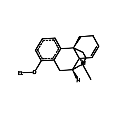 CCOc1cccc2c1C[C@@H]1[C@@H]3C=CCC[C@]23CCN1C